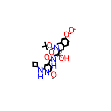 COCOc1ccc2c(c1)CN(C(=O)OC(C)(C)C)[C@H]([C@H](O)CNC(=O)c1cc(NC3CCC3)nc(OC)c1)C2